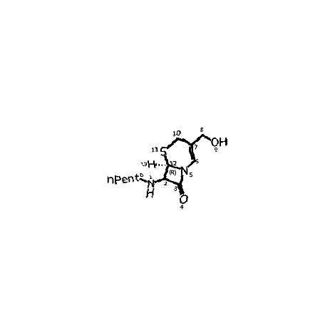 CCCCCNC1C(=O)N2C=C(CO)CS[C@H]12